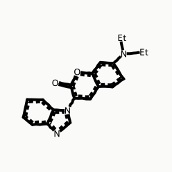 CCN(CC)c1ccc2cc(-n3cnc4ccccc43)c(=O)oc2c1